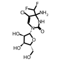 NC1(C(F)F)NC(=O)N([C@@H]2O[C@H](CO)[C@@H](O)[C@H]2O)C=C1Cl